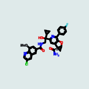 COc1cc(C(=O)NCC(O)(c2cc3c(c(-c4ccc(F)cc4)n2)OC2C[C@@]32C(N)=O)C2CC2)cc2cc(Cl)cnc12